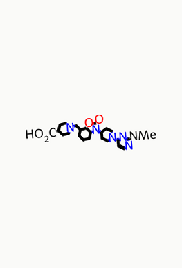 CNc1nccc(N2CCC(N3C(=O)OC4C(CN5CCC(C(=O)O)CC5)CCCC43)CC2)n1